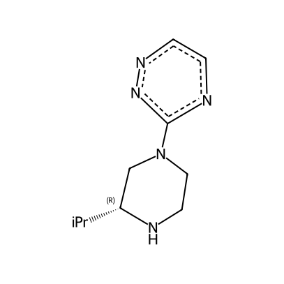 CC(C)[C@@H]1CN(c2nccnn2)CCN1